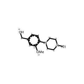 CCN1CCN(c2ccc(CO)cc2OC)CC1